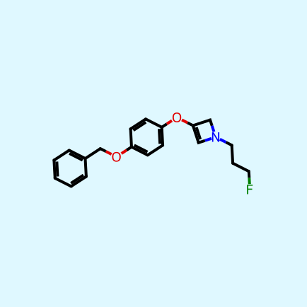 FCCCN1C=C(Oc2ccc(OCc3ccccc3)cc2)C1